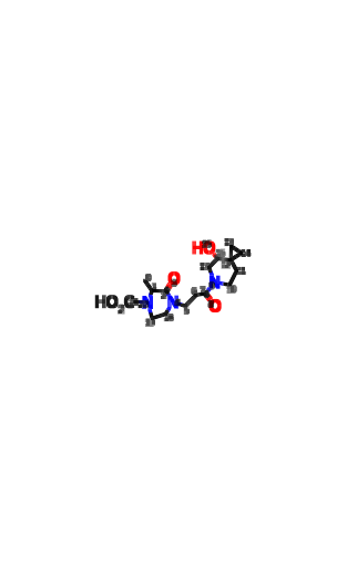 CC1C(=O)N(CCC(=O)N2CCC3(CC3)C(O)C2)CCN1C(=O)O